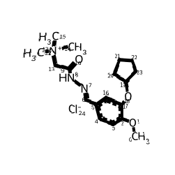 COc1ccc(/C=N/NC(=O)C[N+](C)(C)C)cc1OC1CCCC1.[Cl-]